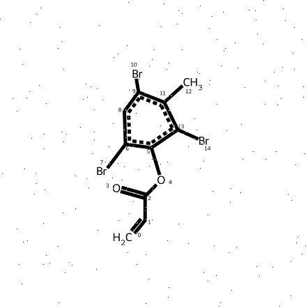 C=CC(=O)Oc1c(Br)cc(Br)c(C)c1Br